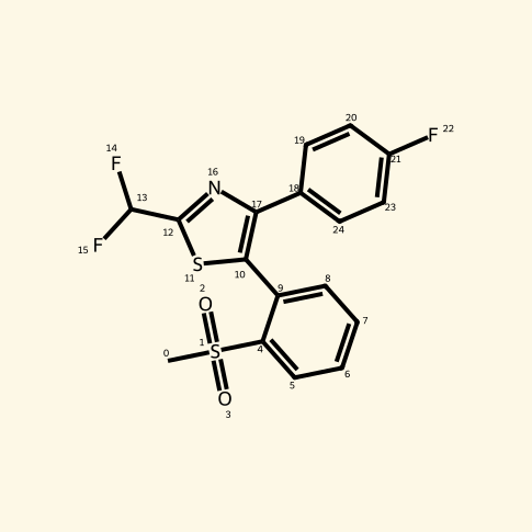 CS(=O)(=O)c1ccccc1-c1sc(C(F)F)nc1-c1ccc(F)cc1